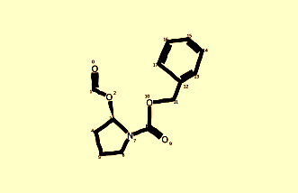 O=CO[C@@H]1CCCN1C(=O)OCc1ccccc1